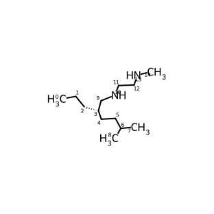 CCC[C@@H](CCC(C)C)CNCCNC